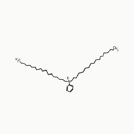 CCCCCCCCCCCCCCCCCC[N+](F)(CCCCCCCCCCCCCCCCCC)c1ccccc1